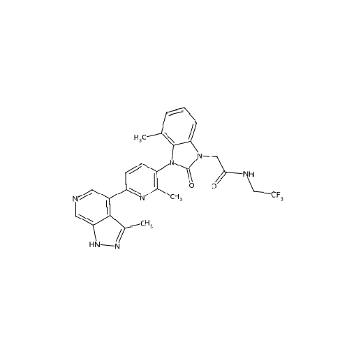 Cc1nc(-c2cncc3[nH]nc(C)c23)ccc1-n1c(=O)n(CC(=O)NCC(F)(F)F)c2cccc(C)c21